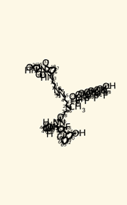 CN(CCCCN1CCN(CCCCNc2cccc3c2C(=O)N(C2CCC(=O)NC2=O)C3=O)CC1)CCCOc1nc(N2C[C@H]3CC[C@@H](C2)N3)c2cc(Cl)c(-c3cc(O)cc4ccccc34)c(F)c2n1.O=C(O)C(F)(F)F.O=C(O)C(F)(F)F.O=C(O)C(F)(F)F.O=C(O)C(F)(F)F